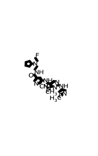 Cc1ncc(C(=O)NCCN(CCF)C2CCCC2)cc1Nc1nn(C)c2nc(Nc3cnn(C)c3)ncc12